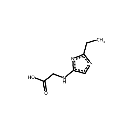 CCc1nc(NCC(=O)O)cs1